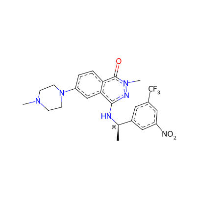 C[C@@H](Nc1nn(C)c(=O)c2ccc(N3CCN(C)CC3)cc12)c1cc([N+](=O)[O-])cc(C(F)(F)F)c1